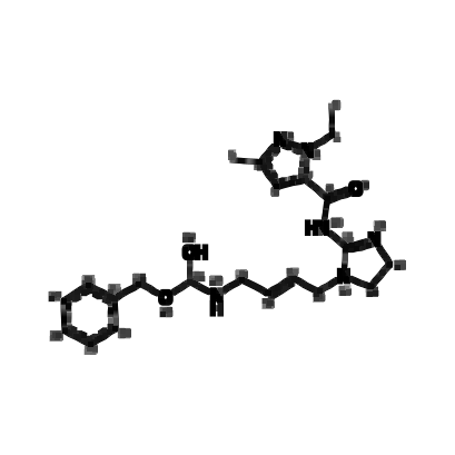 CCn1nc(C)cc1C(=O)NC1=NCCN1C/C=C/CNC(O)OCc1ccccc1